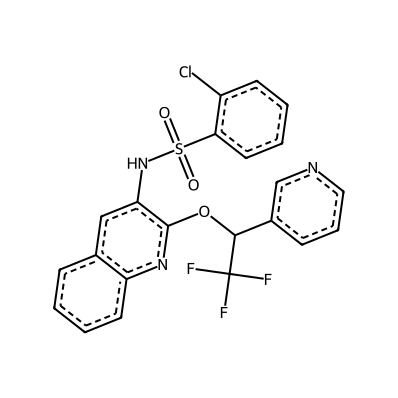 O=S(=O)(Nc1cc2ccccc2nc1OC(c1cccnc1)C(F)(F)F)c1ccccc1Cl